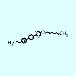 CCCCC/C=C/COc1cnc(-c2ccc(C34CCC(CCC)(CC3)CC4)cc2)nc1